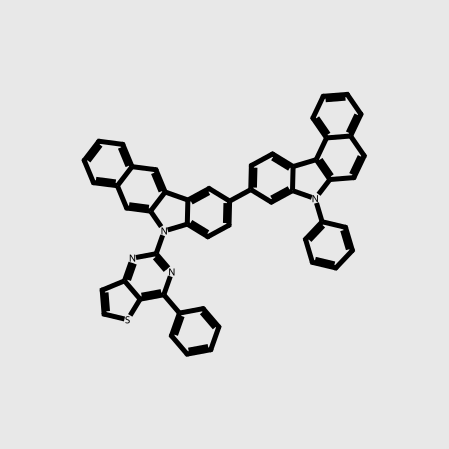 c1ccc(-c2nc(-n3c4ccc(-c5ccc6c7c8ccccc8ccc7n(-c7ccccc7)c6c5)cc4c4cc5ccccc5cc43)nc3ccsc23)cc1